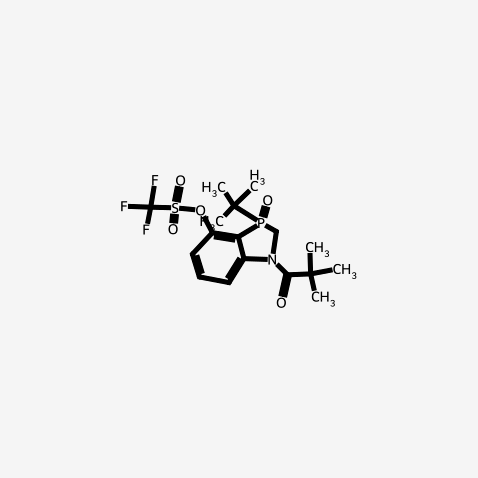 CC(C)(C)C(=O)N1CP(=O)(C(C)(C)C)c2c(OS(=O)(=O)C(F)(F)F)cccc21